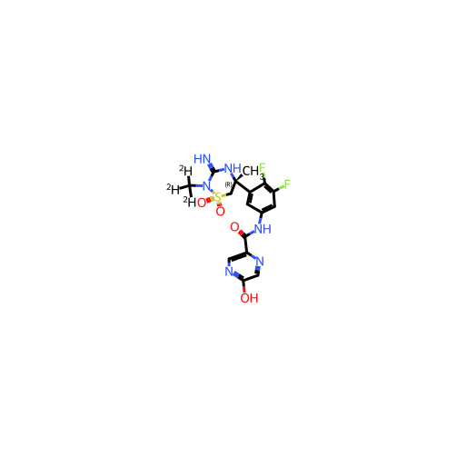 [2H]C([2H])([2H])N1C(=N)N[C@](C)(c2cc(NC(=O)c3cnc(O)cn3)cc(F)c2F)CS1(=O)=O